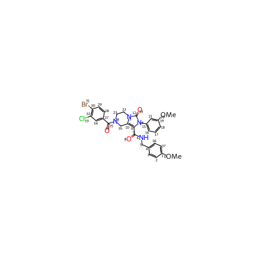 COc1ccc(CNC(=O)c2c3n(c(=O)n2-c2cccc(OC)c2)CCN(C(=O)c2ccc(Br)c(Cl)c2)C3)cc1